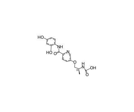 C[C@@H](COc1ccc(C(=O)Nc2ccc(O)cc2O)nc1)NC(=O)O